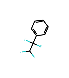 FC(F)C(F)(F)c1ccccc1